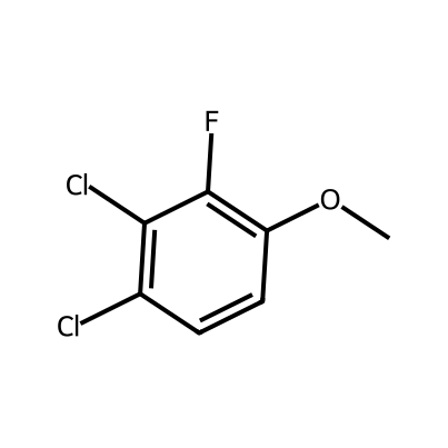 COc1ccc(Cl)c(Cl)c1F